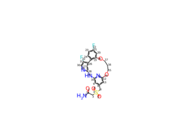 NC(=O)CS(=O)(=O)Cc1cc2nc(c1)OCCCOc1cc(F)ccc1-c1cc(ncc1F)N2